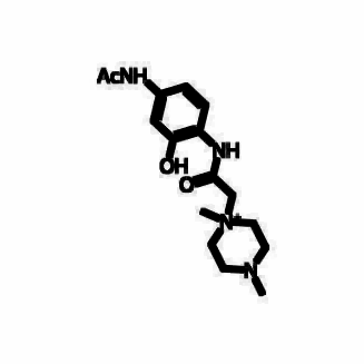 CC(=O)Nc1ccc(NC(=O)C[N+]2(C)CCN(C)CC2)c(O)c1